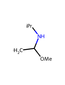 [CH2]C(NC(C)C)OC